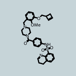 COc1c(CN2CCN(C(=O)c3ccc(NS(=O)(=O)c4cccc5c4N=CCC5)cc3)CC2)cccc1OCC1C=CC1